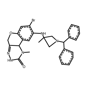 CN1C(=O)NN=C2COc3cc(Br)c(NC4(C)CN(C(c5ccccc5)c5ccccc5)C4)cc3C21